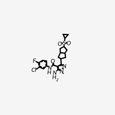 Cn1nc(C2CC3CC(S(=O)(=O)C4CC4)CC3C2)c(C(=O)Nc2ccc(F)c(Cl)c2)c1N